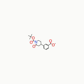 COC(=O)c1cccc(C2CCN(C(=O)OC(C)(C)C)C(=O)C2)c1